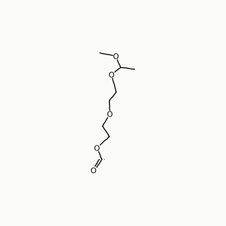 COC(C)OCCOCCO[C]=O